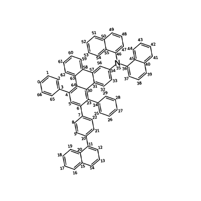 c1ccc(-c2cc(-c3ccc(-c4cccc5ccccc45)cc3)c(-c3ccccc3)c3c4ccc(N(c5cccc6ccccc56)c5cccc6ccccc56)cc4c4ccccc4c23)cc1